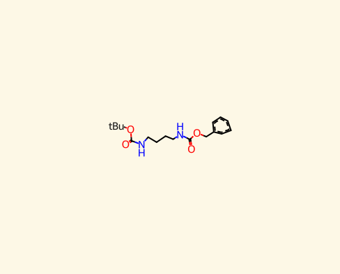 CC(C)(C)OC(=O)NCCCCNC(=O)OCc1ccccc1